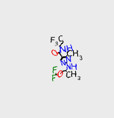 Cc1nc(N[C@@H](C)COC(F)F)ncc1C(=O)NCCC(F)(F)F